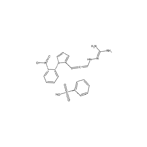 NC(N)=NNC=C=Cc1cccn1-c1ccccc1[N+](=O)[O-].O=S(=O)(O)c1ccccc1